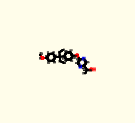 CCC(CC)(c1ccc(OC)cc1)c1ccc(Oc2cnc(C(C)O)cn2)cc1